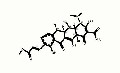 COC(=O)/C=C/c1ccc2c(c1O)C(=O)C1=C(O)[C@@]3(O)C(=O)C(C(N)=O)=C(O)[C@H](N(C)C)[C@H]3[C@H](O)[C@H]1[C@@H]2C